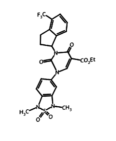 CCOC(=O)c1cn(-c2ccc3c(c2)N(C)S(=O)(=O)N3C)c(=O)n(C2CCc3c2cccc3C(F)(F)F)c1=O